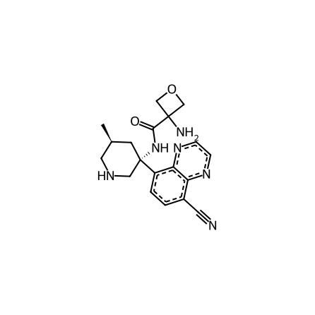 C[C@@H]1CNC[C@](NC(=O)C2(N)COC2)(c2ccc(C#N)c3nccnc23)C1